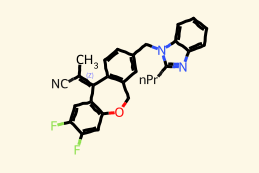 CCCc1nc2ccccc2n1Cc1ccc2c(c1)COc1cc(F)c(F)cc1/C2=C(/C)C#N